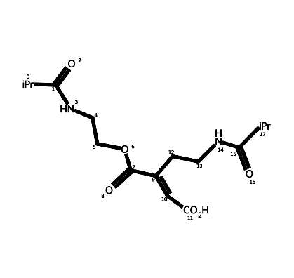 CC(C)C(=O)NCCOC(=O)C(=CC(=O)O)CCNC(=O)C(C)C